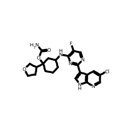 NC(=O)OC1(C2CCOC2)CCCC(Nc2nc(-c3c[nH]c4ncc(Cl)cc34)ncc2F)C1